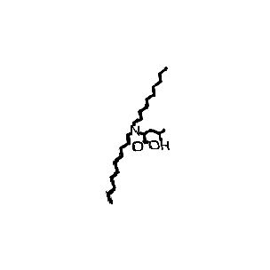 CCCCCCCCCCN(CCCCCCCCCC)C(CC(C)C)C(=O)O